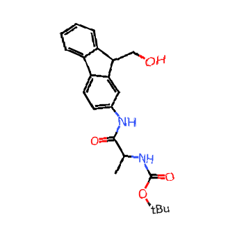 CC(NC(=O)OC(C)(C)C)C(=O)Nc1ccc2c(c1)C(CO)c1ccccc1-2